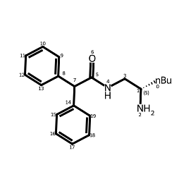 CCCC[C@H](N)CNC(=O)C(c1ccccc1)c1ccccc1